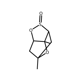 CC12CC3OS(=O)C(C1)C3(C)O2